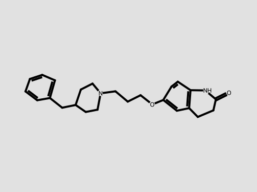 O=C1CCc2cc(OCCCN3CCC(Cc4ccccc4)CC3)ccc2N1